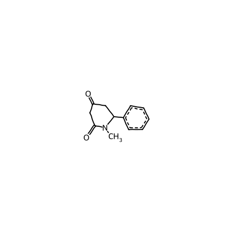 CN1C(=O)CC(=O)CC1c1ccccc1